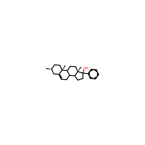 C[C@H]1CC[C@@]2(C)C(=CCC3C2CC[C@@]2(C)C3CCC2(O)c2ccccc2)C1